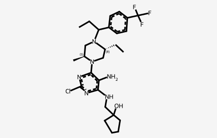 CCC(c1ccc(C(F)(F)F)cc1)N1C[C@H](C)N(c2nc(Cl)nc(NCC3(O)CCCC3)c2N)C[C@H]1CC